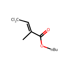 CCCCOC(=O)/C(C)=C/C(Cl)(Cl)Cl